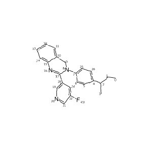 CCC(C)c1ccc(N2Cc3ccccc3N=C2c2cncc(F)c2)cc1